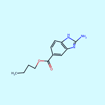 CCCCOC(=O)c1ccc2[nH]c(N)nc2c1